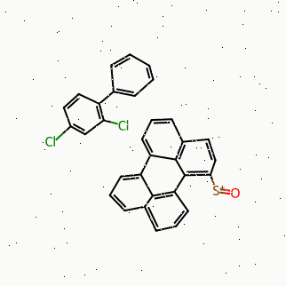 Clc1ccc(-c2ccccc2)c(Cl)c1.O=[S+]c1ccc2cccc3c4cccc5cccc(c1c23)c54